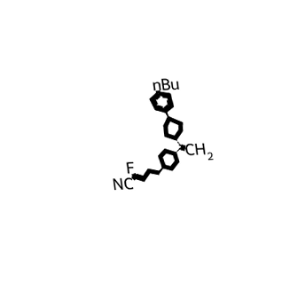 C=C([C@H]1CC[C@H](CC/C=C(\F)C#N)CC1)[C@H]1CC[C@H](c2ccc(CCCC)cc2)CC1